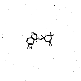 CC1(C)CC(=O)CC(C)(Cn2cnc3ccc(C#N)cc32)C1